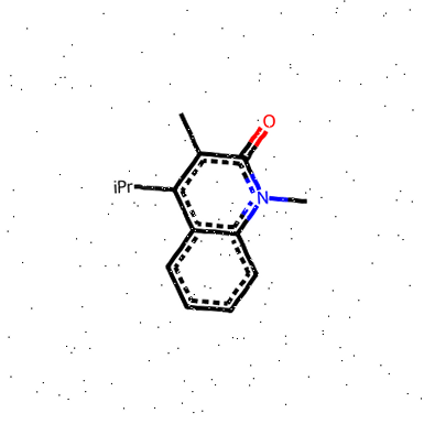 Cc1c(C(C)C)c2ccccc2n(C)c1=O